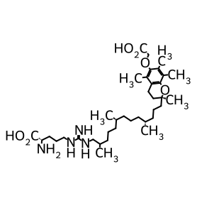 Cc1c(C)c2c(c(C)c1OCC(=O)O)CC[C@@](C)(CCC[C@H](C)CCC[C@H](C)CCCC(C)CNC(=N)NCCC[C@H](N)C(=O)O)O2